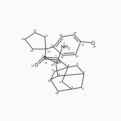 NC(=O)C12CC3CC(C1)C(NC(=O)C1(c4ccc(Cl)cc4)CCCC1)C(C3)C2